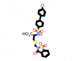 O=C(O)[C@H](CSCN1C(=O)c2ccccc2S1(=O)=O)NS(=O)(=O)c1ccc(-c2ccc(Cl)cc2)cc1